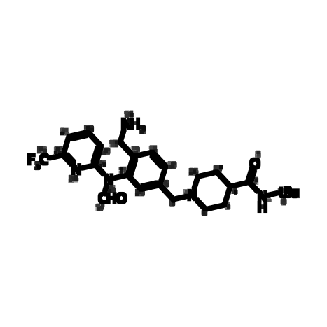 CC(C)(C)NC(=O)C1CCN(Cc2ccc(CN)c(N(C=O)c3cccc(C(F)(F)F)n3)c2)CC1